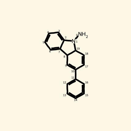 NN1c2ccccc2C2C=C(C3=CC=C=C=C3)C=CC21